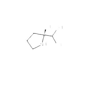 CC(O)[C@@]1(C)CCCN1